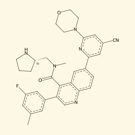 Cc1cc(F)cc(-c2cnc3ccc(-c4cc(C#N)cc(N5CCOCC5)n4)cc3c2C(=O)N(C)C[C@@H]2CCCN2)c1